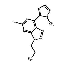 Cn1nccc1-c1nc(C(C)(C)C)nc2c1nnn2CCC(F)(F)F